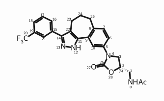 CC(=O)NC[C@H]1CN(c2ccc3c(c2)-c2[nH]nc(-c4cccc(C(F)(F)F)c4)c2CCC3)C(=O)O1